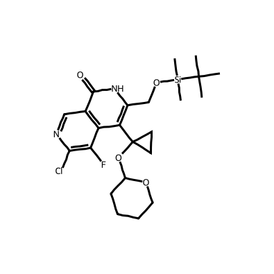 CC(C)(C)[Si](C)(C)OCc1[nH]c(=O)c2cnc(Cl)c(F)c2c1C1(OC2CCCCO2)CC1